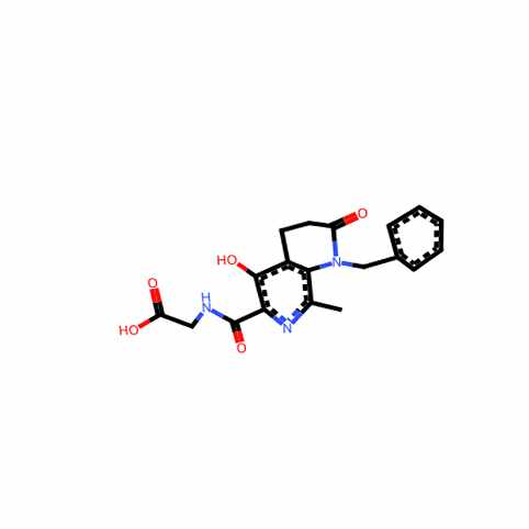 Cc1nc(C(=O)NCC(=O)O)c(O)c2c1N(Cc1ccccc1)C(=O)CC2